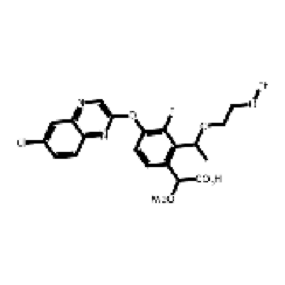 CCOCCOC(C)c1c(C(OC)C(=O)O)ccc(Oc2cnc3cc(Cl)ccc3n2)c1F